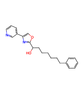 OC(CCCCCCc1ccccc1)c1nc(-c2cccnc2)co1